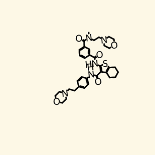 CN(CCN1CCOCC1)C(=O)c1cccc(C(=O)Nc2sc3c(c2C(=O)Nc2ccc(CCN4CCOCC4)cc2)CCCC3)c1